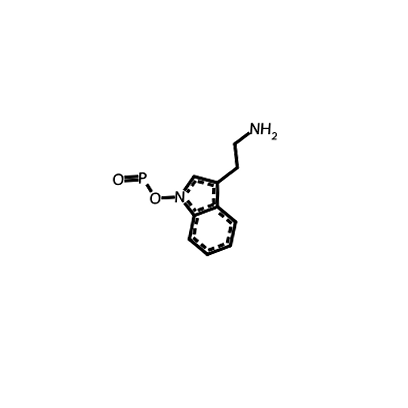 NCCc1cn(OP=O)c2ccccc12